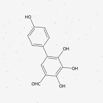 O=Cc1cc(-c2ccc(O)cc2)c(O)c(O)c1O